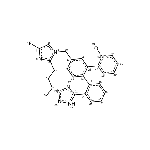 CCCCc1nc(F)cn1Cc1ccc(-c2ccccc2-c2nnn[nH]2)c(-c2cccc[n+]2[O-])c1